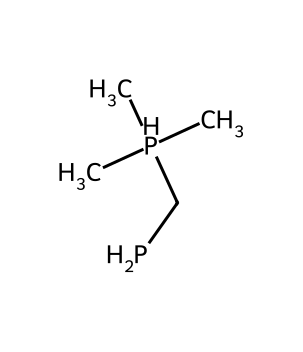 C[PH](C)(C)CP